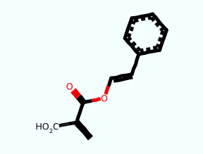 C=C(C(=O)O)C(=O)OC=Cc1ccccc1